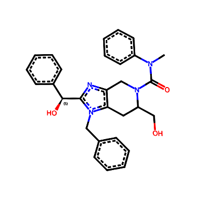 CN(C(=O)N1Cc2nc([C@@H](O)c3ccccc3)n(Cc3ccccc3)c2CC1CO)c1ccccc1